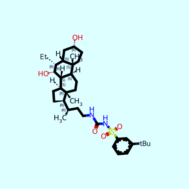 CC[C@H]1[C@@H](O)[C@@H]2[C@H](CC[C@]3(C)[C@@H]([C@H](C)CCNC(=O)NS(=O)(=O)c4cccc(C(C)(C)C)c4)CC[C@@H]23)[C@@]2(C)CC[C@@H](O)C[C@@H]12